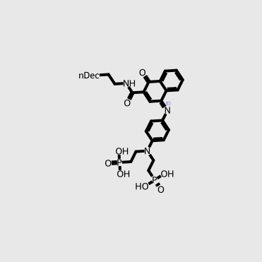 CCCCCCCCCCCCNC(=O)C1=C/C(=N\c2ccc(N(CCP(=O)(O)O)CCP(=O)(O)O)cc2)c2ccccc2C1=O